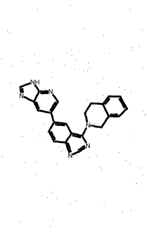 c1ccc2c(c1)CCN(c1ncnc3ccc(-c4cnc5[nH]cnc5c4)cc13)C2